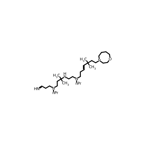 CCCN(CC/C=C/C(C)(C)CCN1CCCCOCC1)CCNC(C)(C)CCN(CCC)CCC=N